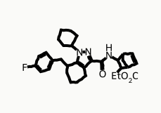 CCOC(=O)C1C2C=CC(C2)C1NC(=O)c1nn(C2CCCCC2)c2c1CCCCC2Cc1ccc(F)cc1